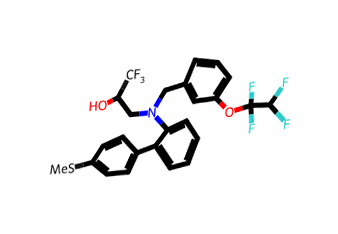 CSc1ccc(-c2ccccc2N(Cc2cccc(OC(F)(F)C(F)F)c2)CC(O)C(F)(F)F)cc1